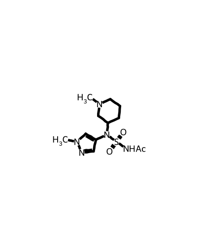 CC(=O)NS(=O)(=O)N(c1cnn(C)c1)C1CCCN(C)C1